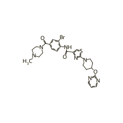 CN1CCN(C(=O)c2ccc(NC(=O)c3csc(N4CCC(Oc5ncccn5)CC4)n3)c(Br)c2)CC1